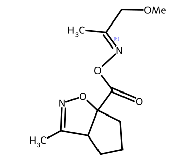 COC/C(C)=N/OC(=O)C12CCCC1C(C)=NO2